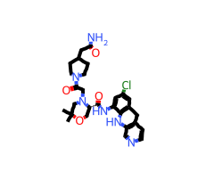 CC1(C)CN(CC(=O)N2CCC(CC(N)=O)CC2)[C@H](C(=O)Nc2cc(Cl)cc3c2Nc2cnccc2C3)CO1